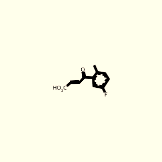 Cc1ccc(F)cc1C(=O)/C=C/C(=O)O